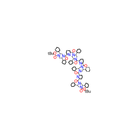 CC(C)(C)OC(=O)N1CC(c2ccccc2)N(C(=O)c2cccc(C(=O)N3CC(C4=CC=CCC4)N(C(=O)c4cccc(C(=O)N5CC(c6ccccc6)N(C(=O)c6cccc(C(=O)N7CC(c8ccccc8)N(C(=O)OC(C)(C)C)CC7c7ccccc7)n6)CC5c5ccccc5)n4)CC3c3ccccc3)n2)CC1c1ccccc1